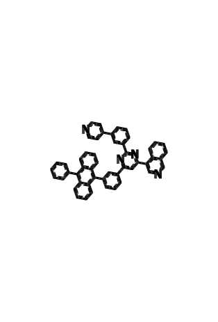 c1ccc(-c2c3ccccc3c(-c3cccc(-c4cc(-c5cncc6ccccc56)nc(-c5cccc(-c6ccncc6)c5)n4)c3)c3ccccc23)cc1